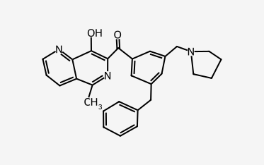 Cc1nc(C(=O)c2cc(Cc3ccccc3)cc(CN3CCCC3)c2)c(O)c2ncccc12